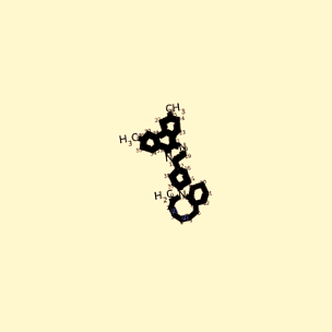 C=C1/C=C\C=C/CC2=C(CCC=C2)N1c1ccc(-c2cnc3c4ccc(C)cc4c4cc(C)ccc4c3n2)cc1